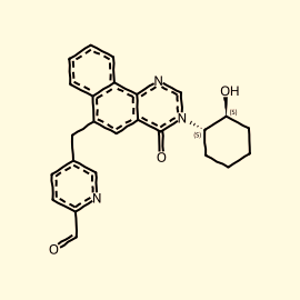 O=Cc1ccc(Cc2cc3c(=O)n([C@H]4CCCC[C@@H]4O)cnc3c3ccccc23)cn1